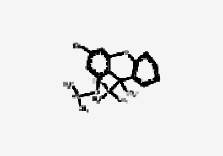 C[SiH](C)Oc1cc(C(C)(C)C)cc2c1C(C(=O)O)([Si](C)(C)C)c1ccccc1O2